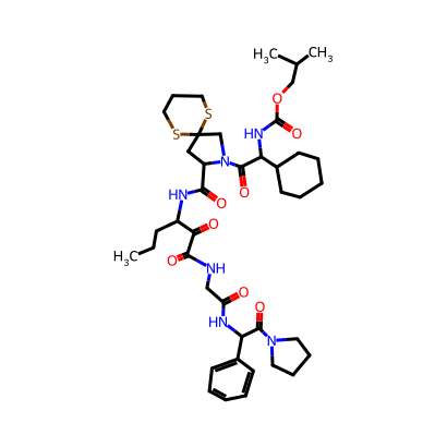 CCCC(NC(=O)C1CC2(CN1C(=O)C(NC(=O)OCC(C)C)C1CCCCC1)SCCCS2)C(=O)C(=O)NCC(=O)NC(C(=O)N1CCCC1)c1ccccc1